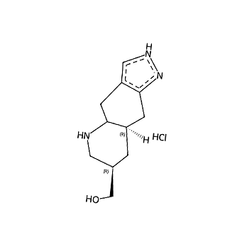 Cl.OC[C@H]1CNC2Cc3c[nH]nc3C[C@H]2C1